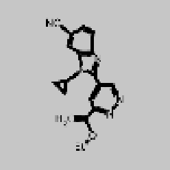 C=C(OCC)c1cc(-c2nc3ccc(C#N)cc3n2C2CC2)cnn1